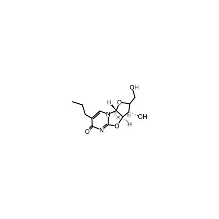 CCCc1cn2c(nc1=O)O[C@H]1[C@H]2OC(CO)[C@@H]1O